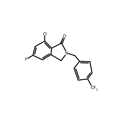 O=C1c2c(Cl)cc(F)cc2CN1Cc1ccc(C(F)(F)F)cc1